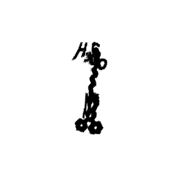 CCOC(=O)CCCCCc1ccc2cc(-c3ccccc3)c(-c3ccccc3)nc2n1